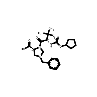 CC(C)(C)[C@H](NC(=O)OC1CCCC1)C(=O)N1CN(Cc2ccccc2)C[C@H]1C(=O)O